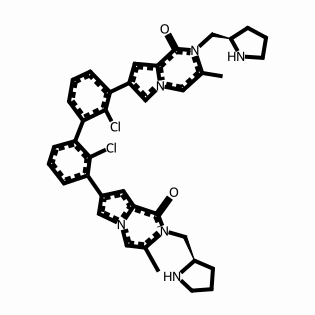 Cc1cn2cc(-c3cccc(-c4cccc(-c5cc6c(=O)n(C[C@H]7CCCN7)c(C)cn6c5)c4Cl)c3Cl)cc2c(=O)n1C[C@H]1CCCN1